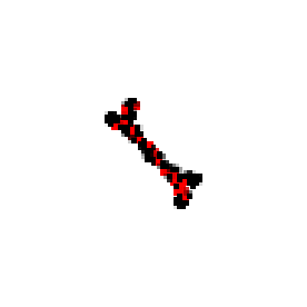 CC1(C)c2cc(/C=C/c3ccc4c(c3)C(C)(C)c3cc(N(c5ccc6c(c5)C(C)(C)c5ccccc5-6)c5ccc6ccccc6c5)ccc3-4)ccc2-c2ccc(/C=C/c3ccc4c(c3)C(C)(C)c3cc(N(c5ccc6c(c5)C(C)(C)c5ccccc5-6)c5ccc6ccccc6c5)ccc3-4)cc21